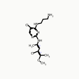 CO/C(C)=C(Cl)/C=C(\C)Nc1ncc(Cl)c(NCCCN)n1